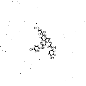 CC(C)N1CCC(NC(=O)Oc2nc3cc(S(=O)(=O)CCO)ccc3n2CC(=O)Nc2ccc(Cl)cn2)CC1